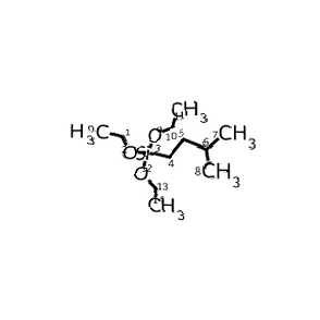 CCO[Si](CCC(C)C)(OCC)OCC